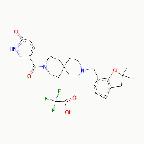 CC1(C)Cc2cccc(CN3CCC4(CC3)CCN(C(=O)c3ccc(=O)[nH]c3)CC4)c2O1.O=C(O)C(F)(F)F